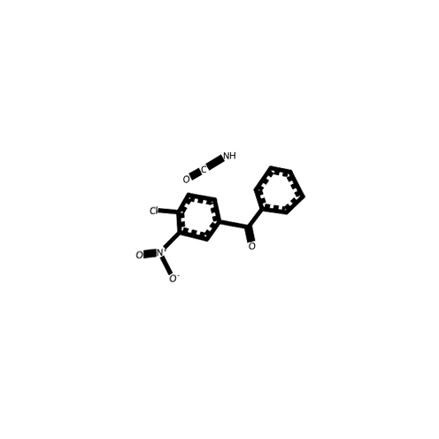 N=C=O.O=C(c1ccccc1)c1ccc(Cl)c([N+](=O)[O-])c1